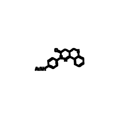 CC(=O)Nc1ccc(N2N=C3c4ccccc4SCC3CC2=O)cc1